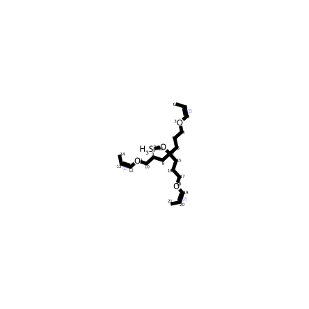 C/C=C\OCCCC(CCCO/C=C\C)(CCCO/C=C\C)O[SiH3]